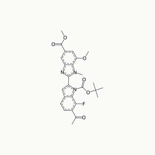 COC(=O)c1cc(OC)c2c(c1)nc(-c1cc3ccc(C(C)=O)c(F)c3n1C(=O)OC(C)(C)C)n2C